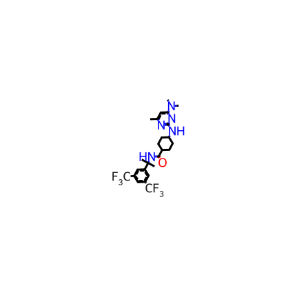 Cc1cc(N(C)C)nc(NC2CCC(C(=O)NC(C)(C)c3cc(C(F)(F)F)cc(C(F)(F)F)c3)CC2)n1